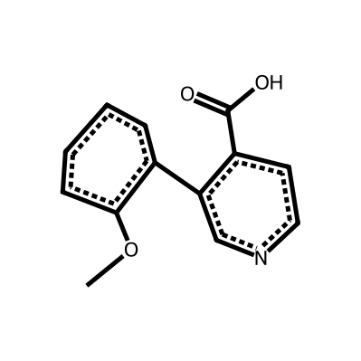 COc1ccccc1-c1cnccc1C(=O)O